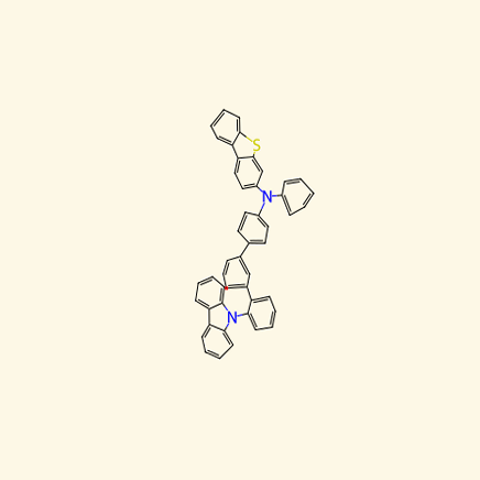 c1ccc(N(c2ccc(-c3cccc(-c4ccccc4-n4c5ccccc5c5ccccc54)c3)cc2)c2ccc3c(c2)sc2ccccc23)cc1